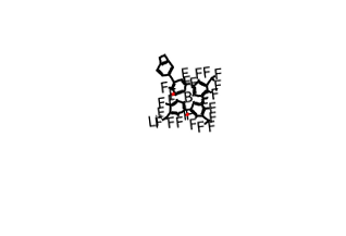 Fc1c(F)c([B-](c2c(F)c(F)c(C(F)(F)F)c(F)c2F)(c2c(F)c(F)c(C(F)(F)F)c(F)c2F)c2c(F)c(F)c(C(F)(F)F)c(F)c2F)c(F)c(F)c1-c1ccc2c(c1)CC2.[Li+]